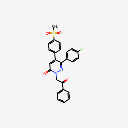 CS(=O)(=O)c1ccc(-c2cc(=O)n(CC(=O)c3ccccc3)nc2-c2ccc(F)cc2)cc1